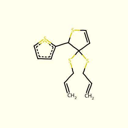 C=CCSC1(SCC=C)C=CSC1c1cccs1